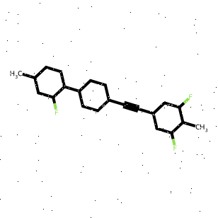 CC1CCC(C2CCC(C#CC3CC(F)C(C)C(F)C3)CC2)C(F)C1